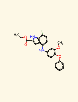 CCOC(=O)c1cc2c(Nc3ccc(Oc4ccccc4)c(OC)c3)ccc(F)c2[nH]1